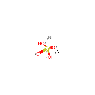 O=S(=O)(O)O.[Ni].[Ni]